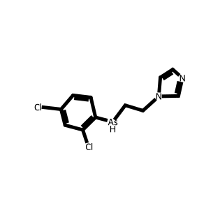 Clc1ccc([AsH]CCn2ccnc2)c(Cl)c1